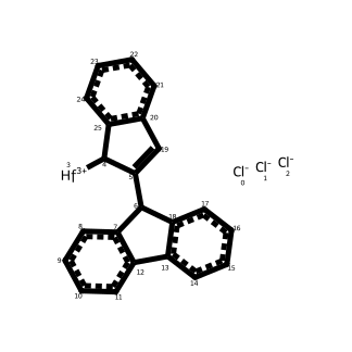 [Cl-].[Cl-].[Cl-].[Hf+3][CH]1C(C2c3ccccc3-c3ccccc32)=Cc2ccccc21